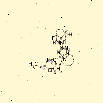 C=C(/C=C\C(=C/C)C(F)(F)F)[C@H]1CCCCn2nc(N[C@@H]3[C@@H]4CC[C@H]3CN(c3cc(C)ncn3)C4)nc21